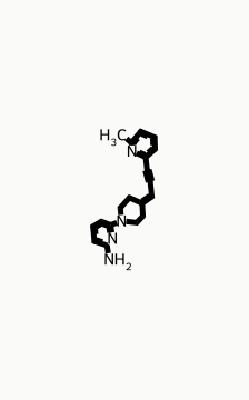 Cc1cccc(C#CC=C2CCN(c3cccc(N)n3)CC2)n1